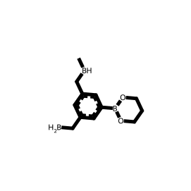 BCc1cc(CBC)cc(B2OCCCO2)c1